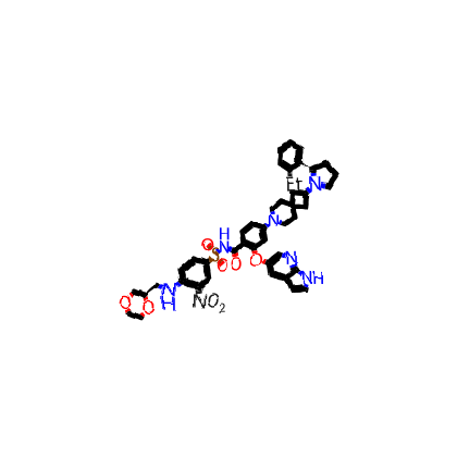 CCc1ccccc1[C@@H]1CCCN1C1CC2(CCN(c3ccc(C(=O)NS(=O)(=O)c4ccc(NC[C@@H]5COCCO5)c([N+](=O)[O-])c4)c(Oc4cnc5[nH]ccc5c4)c3)CC2)C1